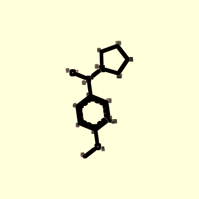 COc1ccc([S+]([O-])N2CCCC2)cn1